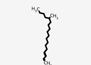 C=CC=CCCCCCCCCCC(C)CCCC